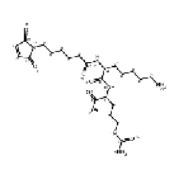 CC(C)(C)C(=O)[C@H](CCCNC(N)=O)NC(=O)[C@H](CCCCCN)NC(=O)CCCCCN1C(=O)C=CC1=O